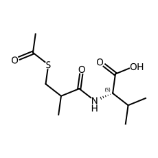 CC(=O)SCC(C)C(=O)N[C@H](C(=O)O)C(C)C